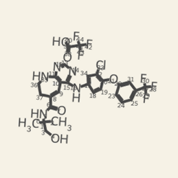 CC(C)(CO)NC(=O)C1=Cc2c(ncnc2Nc2ccc(Oc3cccc(C(F)(F)F)c3)c(Cl)c2)NCC1.O=C(O)C(F)(F)F